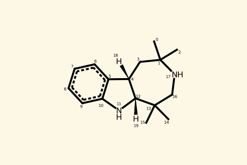 CC1(C)C[C@H]2c3ccccc3N[C@H]2C(C)(C)CN1